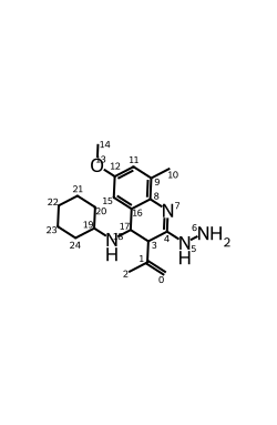 C=C(C)C1C(NN)=Nc2c(C)cc(OC)cc2C1NC1CCCCC1